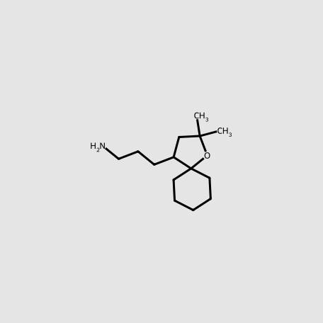 CC1(C)CC(CCCN)C2(CCCCC2)O1